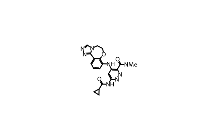 CNC(=O)c1nnc(NC(=O)C2CC2)cc1Nc1cccc2c1OCCn1cnnc1-2